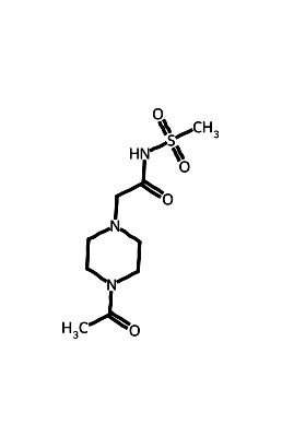 CC(=O)N1CCN(CC(=O)NS(C)(=O)=O)CC1